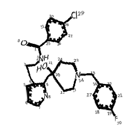 O=C(NCc1cccnc1C1(O)CCN(Cc2ccc(F)cc2)CC1)c1ccc(Cl)cc1